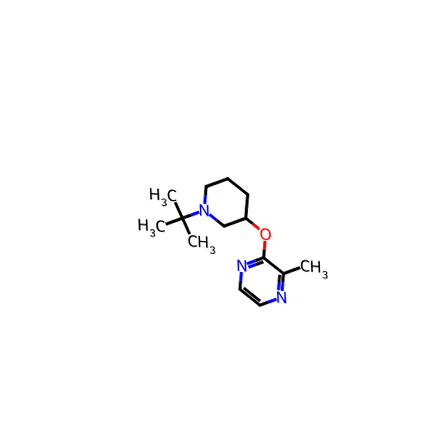 Cc1nccnc1OC1CCCN(C(C)(C)C)C1